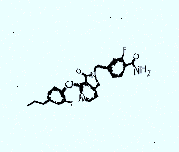 CCCc1ccc(Oc2nccc3c2C(=O)N(Cc2ccc(C(N)=O)c(F)c2)C3)c(F)c1